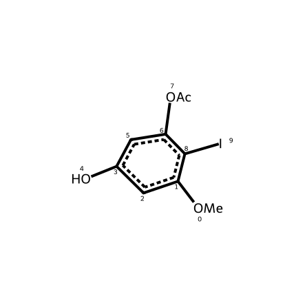 COc1cc(O)cc(OC(C)=O)c1I